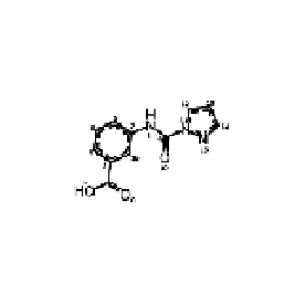 O=C(O)c1cccc(NC(=O)n2cccn2)c1